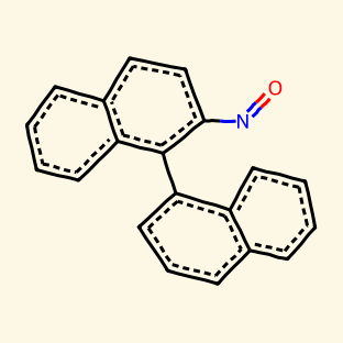 O=Nc1ccc2ccccc2c1-c1cccc2ccccc12